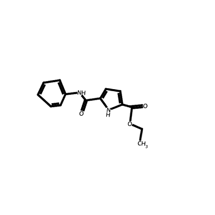 CCOC(=O)c1ccc(C(=O)Nc2ccccc2)[nH]1